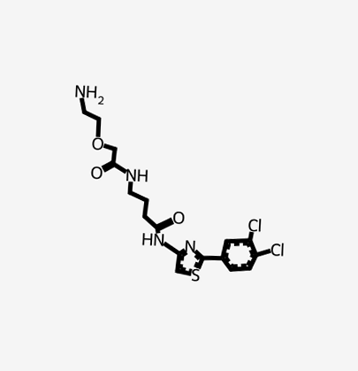 NCCOCC(=O)NCCCC(=O)Nc1csc(-c2ccc(Cl)c(Cl)c2)n1